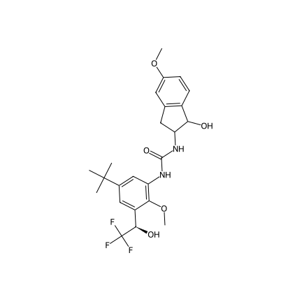 COc1ccc2c(c1)CC(NC(=O)Nc1cc(C(C)(C)C)cc([C@@H](O)C(F)(F)F)c1OC)C2O